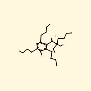 CCCCc1cc(CCCC)c(C(O)C(CC)(CO)CCCC)c(CCCC)c1O